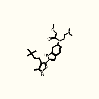 COCC(=O)N(CCN(C)C)C1C=Cc2cc(-c3n[nH]c(C)c3CCC(C)(C)C)[nH]c2C1